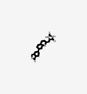 O=C1NC(=S)N/C1=C\c1ccc2ccc(-c3ccc4c(c3)COC4=O)cc2n1